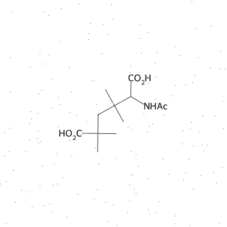 CC(=O)NC(C(=O)O)C(C)(C)CC(C)(C)C(=O)O